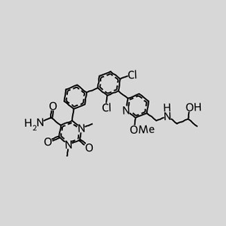 COc1nc(-c2c(Cl)ccc(-c3cccc(-c4c(C(N)=O)c(=O)n(C)c(=O)n4C)c3)c2Cl)ccc1CNCC(C)O